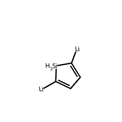 [Li][C]1=CC=[C]([Li])[SiH2]1